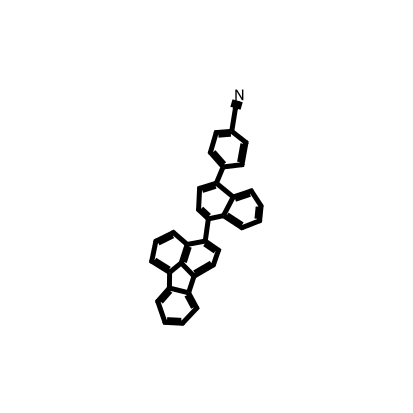 N#Cc1ccc(-c2ccc(-c3ccc4c5c(cccc35)-c3ccccc3-4)c3ccccc23)cc1